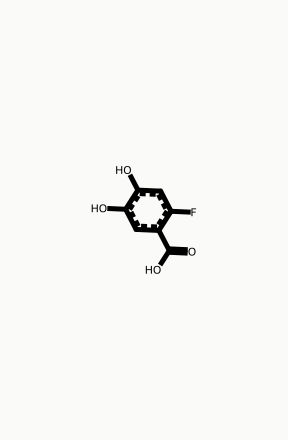 O=C(O)c1cc(O)c(O)cc1F